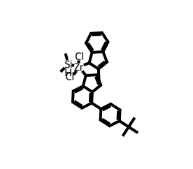 CC1=Cc2ccccc2[CH]1[Zr]([Cl])([Cl])([CH]1C=Cc2c(-c3ccc(C(C)(C)C)cc3)cccc21)[SiH](C)C